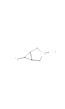 NC1C2CN(S)CC12